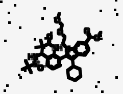 COCOCCn1c(-c2cccc3c2NC(=O)C(C)(C)C3N[S@@+]([O-])C(C)(C)C)c(C2CCCCC2)c2ccc(C(=O)OC)cc21